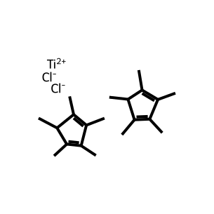 CC1=C(C)C(C)C(C)=C1C.CC1=C(C)C(C)C(C)=C1C.[Cl-].[Cl-].[Ti+2]